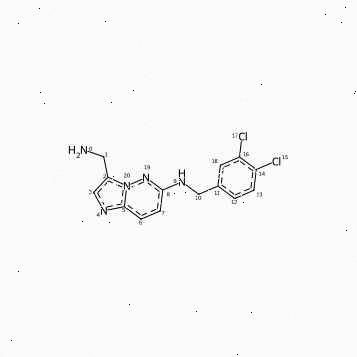 NCc1cnc2ccc(NCc3ccc(Cl)c(Cl)c3)nn12